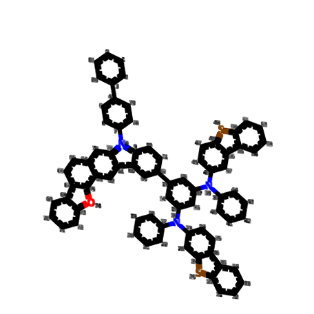 c1ccc(-c2ccc(-n3c4ccc(-c5cc(N(c6ccccc6)c6ccc7c(c6)sc6ccccc67)cc(N(c6ccccc6)c6ccc7sc8ccccc8c7c6)c5)cc4c4cc5c(ccc6c7ccccc7oc56)cc43)cc2)cc1